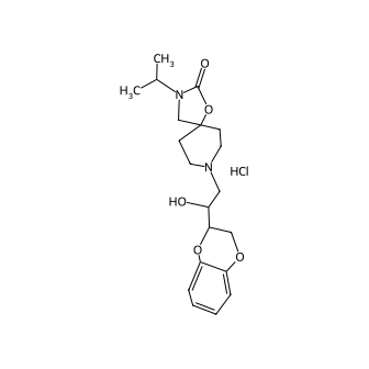 CC(C)N1CC2(CCN(CC(O)C3COc4ccccc4O3)CC2)OC1=O.Cl